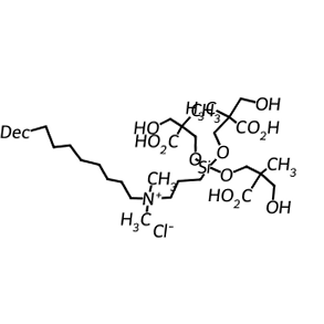 CCCCCCCCCCCCCCCCCC[N+](C)(C)CCC[Si](OCC(C)(CO)C(=O)O)(OCC(C)(CO)C(=O)O)OCC(C)(CO)C(=O)O.[Cl-]